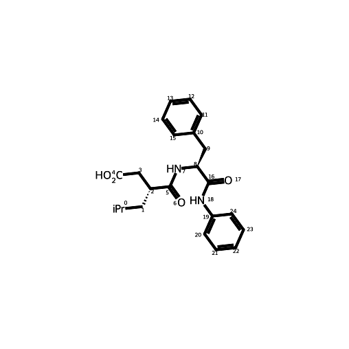 CC(C)C[C@H](CC(=O)O)C(=O)N[C@@H](Cc1ccccc1)C(=O)Nc1ccccc1